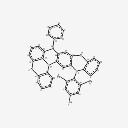 CC(C)c1cc(C(C)C)c(B2c3ccccc3Oc3cc4c(cc32)B2c3ccccc3Sc3cccc(c32)N4c2ccccc2)c(C(C)C)c1